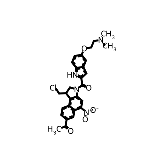 CC(=O)c1ccc2c3c(cc([N+](=O)[O-])c2c1)N(C(=O)c1cc2cc(OCCN(C)C)ccc2[nH]1)CC3CCl